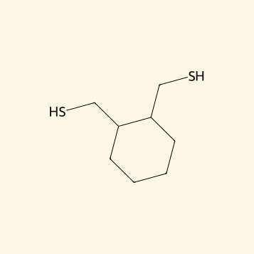 SCC1CCCCC1CS